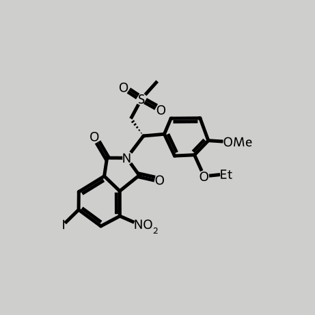 CCOc1cc([C@@H](CS(C)(=O)=O)N2C(=O)c3cc(I)cc([N+](=O)[O-])c3C2=O)ccc1OC